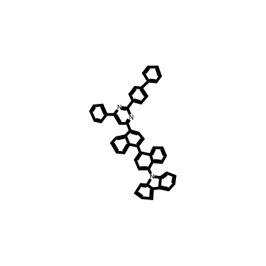 c1ccc(-c2ccc(-c3nc(-c4ccccc4)cc(-c4ccc(-c5ccc(-n6c7ccccc7c7ccccc76)c6ccccc56)c5ccccc45)n3)cc2)cc1